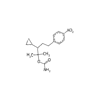 CC(C)(OC(N)=O)C(CCc1ccc([N+](=O)[O-])cc1)C1CC1